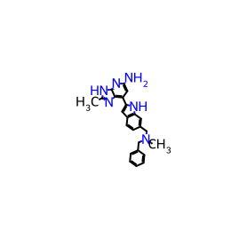 Cc1nc2c(-c3cc4ccc(CN(C)Cc5ccccc5)cc4[nH]3)cc(N)nc2[nH]1